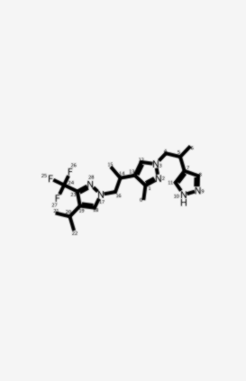 Cc1nn(CC(C)c2cn[nH]c2)cc1C(C)Cn1cc(C(C)C)c(C(F)(F)F)n1